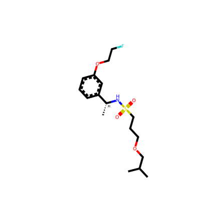 CC(C)COCCCS(=O)(=O)N[C@H](C)c1cccc(OCCF)c1